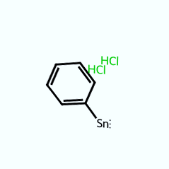 Cl.Cl.[Sn][c]1ccccc1